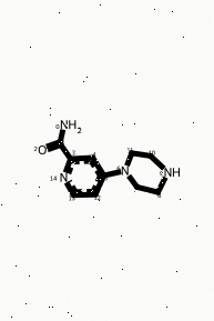 NC(=O)c1cc(N2CCNCC2)ccn1